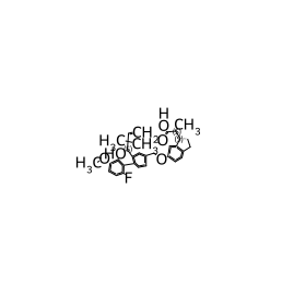 C=CC(C)(C)[C@H](O)c1cc(COc2ccc3c(c2)[C@H]([C@H](C)C(=O)O)CC3)ccc1-c1cc(OC)ccc1F